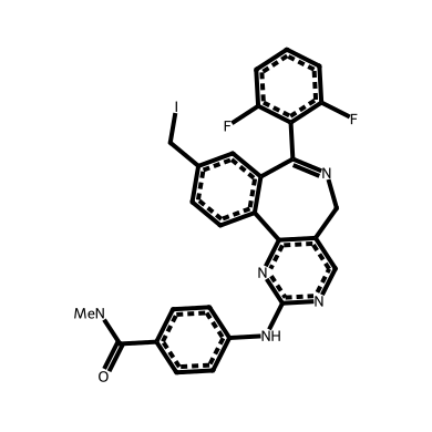 CNC(=O)c1ccc(Nc2ncc3c(n2)-c2ccc(CI)cc2C(c2c(F)cccc2F)=NC3)cc1